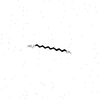 CC=CC=CCCCCCCCC(=O)O